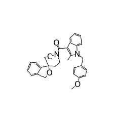 COc1ccc(Cn2c(C)c(C(=O)N3CCC4(CC3)OCc3ccccc34)c3ccccc32)cc1